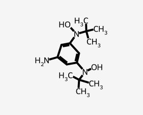 CC(C)(C)N(O)c1cc(N)cc(N(O)C(C)(C)C)c1